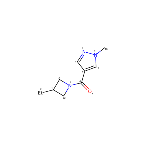 CCC1CN(C(=O)c2cnn(C)c2)C1